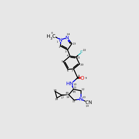 Cn1cc(-c2ccc(C(=O)N[C@H]3CN(C#N)C[C@H]3C3CC3)cc2F)cn1